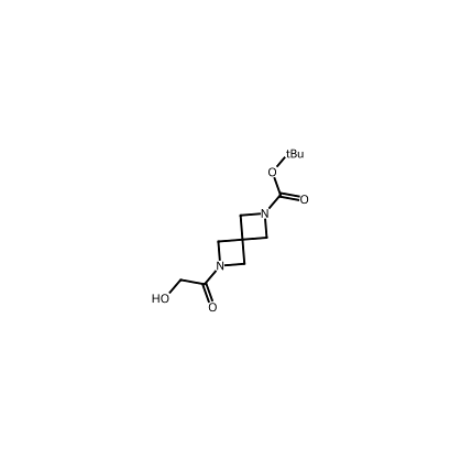 CC(C)(C)OC(=O)N1CC2(CN(C(=O)CO)C2)C1